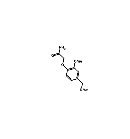 CNCc1ccc(OCC(N)=O)c(OC)c1